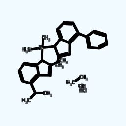 CC.CC1=Cc2c(-c3ccccc3)cccc2[CH]1[Zr]([CH3])([SiH3])[CH]1C(C)=Cc2c(C(C)C)cccc21.Cl.Cl